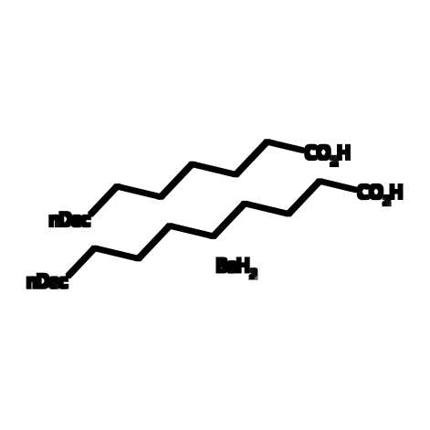 CCCCCCCCCCCCCCCC(=O)O.CCCCCCCCCCCCCCCCCC(=O)O.[BaH2]